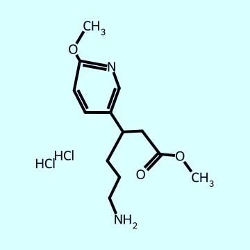 COC(=O)CC(CCCN)c1ccc(OC)nc1.Cl.Cl